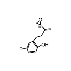 C=C(CCc1cc(F)ccc1O)[C@H]1CO1